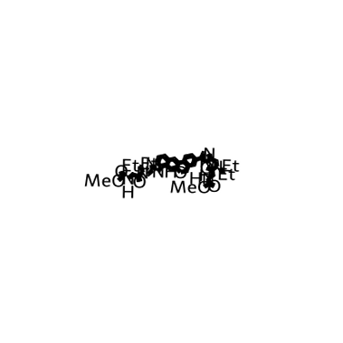 CCC(CC)N(Cc1ncc(-c2ccc3c(c2)COc2cc4c(ccc5nc(CN(C(=O)CNC(=O)OC)C(CC)CC)[nH]c54)cc2-3)[nH]1)C(=O)CNC(=O)OC